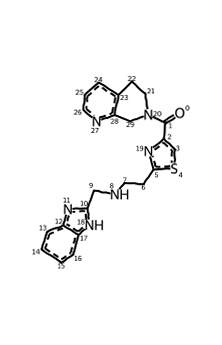 O=C(c1csc(CCNCc2nc3ccccc3[nH]2)n1)N1CCc2cccnc2C1